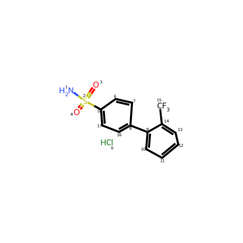 Cl.NS(=O)(=O)c1ccc(-c2ccccc2C(F)(F)F)cc1